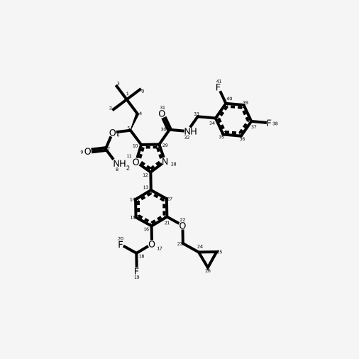 CC(C)(C)C[C@H](OC(N)=O)c1oc(-c2ccc(OC(F)F)c(OCC3CC3)c2)nc1C(=O)NCc1ccc(F)cc1F